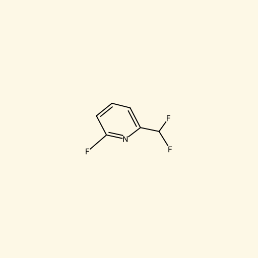 Fc1cccc(C(F)F)n1